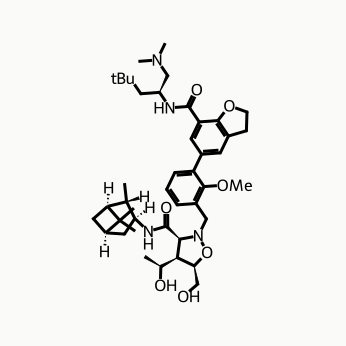 COc1c(CN2O[C@@H](CO)[C@@H]([C@H](C)O)[C@H]2C(=O)N[C@H]2C[C@H]3C[C@@H]([C@@H]2C)C3(C)C)cccc1-c1cc2c(c(C(=O)N[C@H](CN(C)C)CC(C)(C)C)c1)OCC2